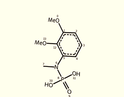 COc1cccc(N(C)P(=O)(O)O)c1OC